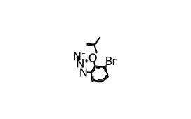 C=C(C)COc1c(Br)cccc1N=[N+]=[N-]